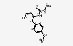 CC/C=C\[C@H](Cc1ccc(OC(C)(C)C)cc1)NC(=O)OC(C)(C)C